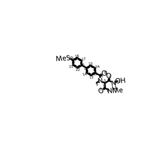 CNC(=O)C(C(=O)NO)N(C)C(=O)c1ccc(-c2ccc(SC)cc2)cc1